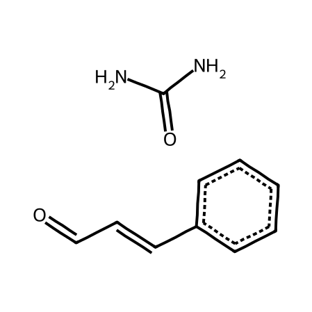 NC(N)=O.O=CC=Cc1ccccc1